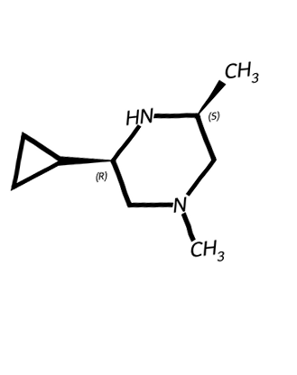 C[C@H]1CN(C)C[C@@H](C2CC2)N1